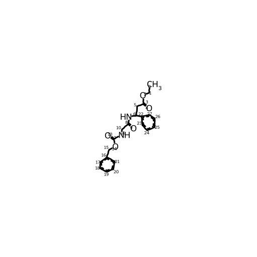 CCOC(=O)CC(NC(=O)CNC(=O)OCc1ccccc1)c1ccccc1